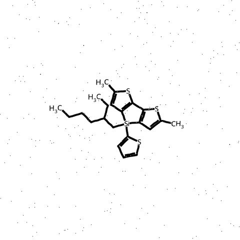 CCCCC(CC)C[Si]1(c2cccs2)c2cc(C)sc2-c2sc(C)cc21